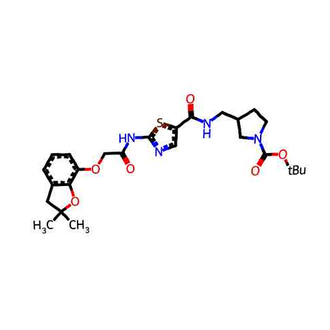 CC(C)(C)OC(=O)N1CCC(CNC(=O)c2cnc(NC(=O)COc3cccc4c3OC(C)(C)C4)s2)C1